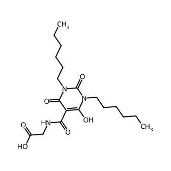 CCCCCCn1c(O)c(C(=O)NCC(=O)O)c(=O)n(CCCCCC)c1=O